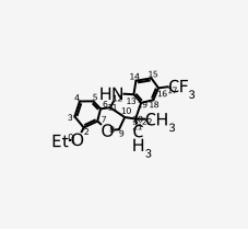 CCOc1cccc2c1OCC1C2Nc2ccc(C(F)(F)F)cc2C1(C)C